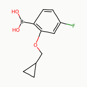 OB(O)c1ccc(F)cc1OCC1CC1